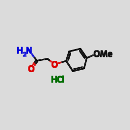 COc1ccc(OCC(N)=O)cc1.Cl